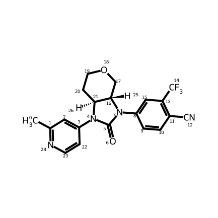 Cc1cc(N2C(=O)N(c3ccc(C#N)c(C(F)(F)F)c3)[C@H]3COCC[C@@H]32)ccn1